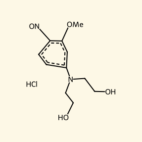 COc1cc(N(CCO)CCO)ccc1N=O.Cl